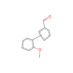 COc1ccccc1-c1cccc(C=O)c1